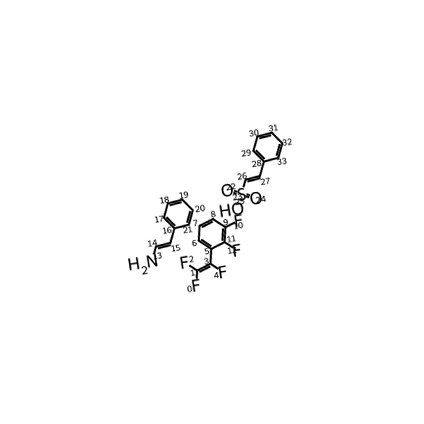 FC(F)=C(F)c1cccc(F)c1F.NC=Cc1ccccc1.O=S(=O)(O)C=Cc1ccccc1